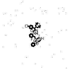 CC1(C)CC(C(c2ccc(Cl)cc2)[C@H](N)C(=O)Nc2cccc(F)c2CC[C@H]2CNCCN2S(=O)(=O)c2ccccc2)CC(C)(C)O1